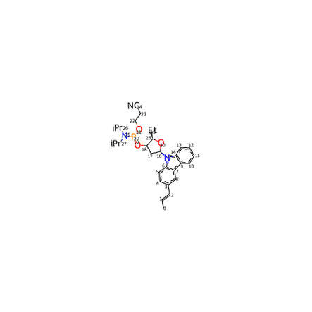 C/C=C/c1ccc2c(c1)c1ccccc1n2[C@H]1CC(OP(OCCC#N)N(C(C)C)C(C)C)[C@@H](CC)O1